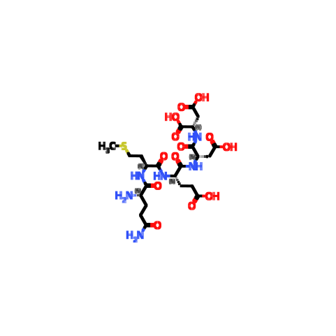 CSCC[C@H](NC(=O)[C@@H](N)CCC(N)=O)C(=O)N[C@@H](CCC(=O)O)C(=O)N[C@@H](CC(=O)O)C(=O)N[C@@H](CC(=O)O)C(=O)O